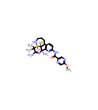 COc1cnc(C(=O)Nc2ccc(F)c([C@@]3(C)N=C(N)C(C)(C)S4(O)NCCCC[C@H]34)n2)cn1